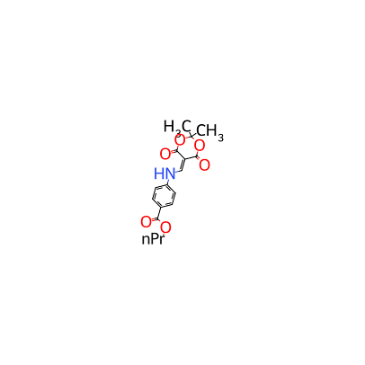 CCCOC(=O)c1ccc(NC=C2C(=O)OC(C)(C)OC2=O)cc1